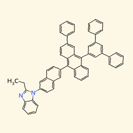 CCc1nc2ccccc2n1-c1ccc2cc(-c3c4ccccc4c(-c4cc(-c5ccccc5)cc(-c5ccccc5)c4)c4cc(-c5ccccc5)ccc34)ccc2c1